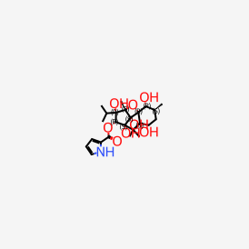 CC(C)[C@@]1(O)[C@@H](OC(=O)c2ccc[nH]2)[C@@]2(O)C(C)(C)[C@@]3(O)CC[C@H](C)[C@@H](O)[C@@]34O[C@]1(C)[C@]42O